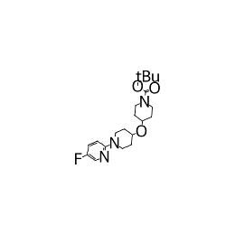 CC(C)(C)OC(=O)N1CCC(OC2CCN(c3ccc(F)cn3)CC2)CC1